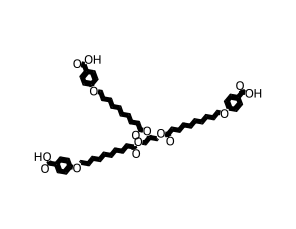 O=C(CCCCCCCCCOc1ccc(C(=O)O)cc1)OCC(COC(=O)CCCCCCCCCOc1ccc(C(=O)O)cc1)OC(=O)CCCCCCCCCOc1ccc(C(=O)O)cc1